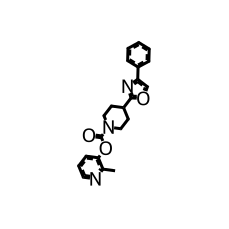 Cc1ncccc1OC(=O)N1CCC(c2nc(-c3ccccc3)co2)CC1